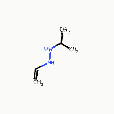 C=CNNC(C)C